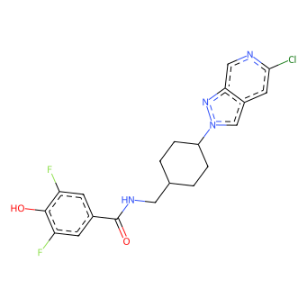 O=C(NCC1CCC(n2cc3cc(Cl)ncc3n2)CC1)c1cc(F)c(O)c(F)c1